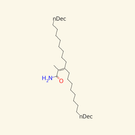 CCCCCCCCCCCCCCCCCCC(CCCCCCCCCCCCCCCCCC)=C(C)C(N)=O